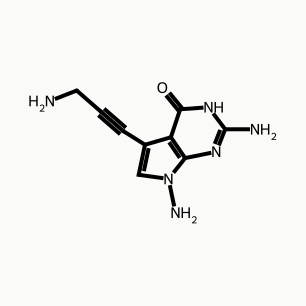 NCC#Cc1cn(N)c2nc(N)[nH]c(=O)c12